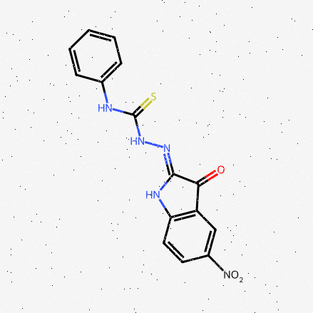 O=C1C(=NNC(=S)Nc2ccccc2)Nc2ccc([N+](=O)[O-])cc21